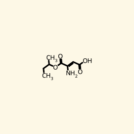 CCC(C)OC(=O)C(N)=CC(=O)O